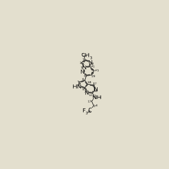 Cc1cn2nc(-c3c[nH]c4nc(NCCC(F)(F)F)ncc34)ccc2n1